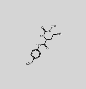 CCCCCCCCc1ccc(NC(=O)C(CCO)NC(=O)OC(C)(C)C)cc1